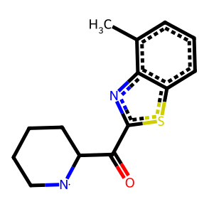 Cc1cccc2sc(C(=O)C3CCCC[N]3)nc12